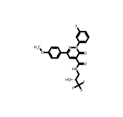 COc1ccc(-c2cc(C(=O)NC[C@@H](O)C(F)(F)F)c(=O)n(-c3cccc(F)c3)n2)cc1